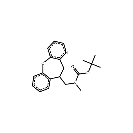 CN(CC1Cc2ncccc2Oc2ccccc21)C(=O)OC(C)(C)C